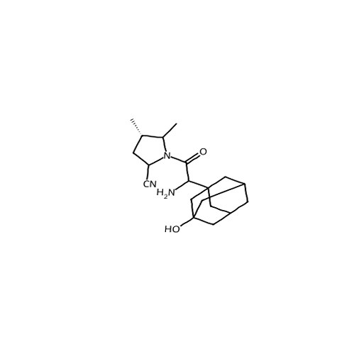 CC1[C@@H](C)CC(C#N)N1C(=O)C(N)C12CC3CC(CC(O)(C3)C1)C2